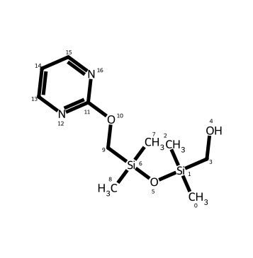 C[Si](C)(CO)O[Si](C)(C)COc1ncccn1